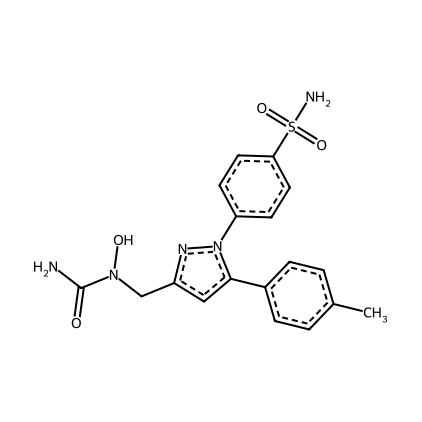 Cc1ccc(-c2cc(CN(O)C(N)=O)nn2-c2ccc(S(N)(=O)=O)cc2)cc1